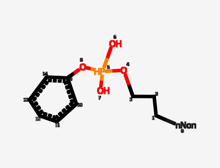 CCCCCCCCCCCCO[PH](O)(O)Oc1ccccc1